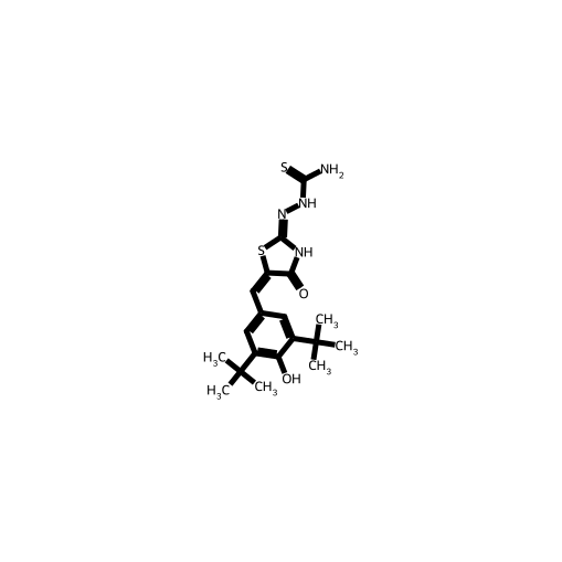 CC(C)(C)c1cc(C=C2SC(=NNC(N)=S)NC2=O)cc(C(C)(C)C)c1O